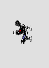 C#C/C=C(\C=C(/C)OC(F)(F)F)C[S+]([O-])c1nc2c(c(=O)n(CCCOC3CCCCO3)c(=O)n2C)n1Cc1ccc(Cl)cc1